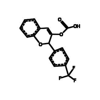 O=C(O)OC1=Cc2ccccc2OC1c1ccc(C(F)(F)F)cc1